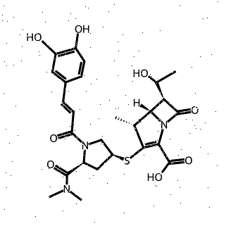 CC(O)[C@H]1C(=O)N2C(C(=O)O)=C(S[C@H]3C[C@@H](C(=O)N(C)C)N(C(=O)C=Cc4ccc(O)c(O)c4)C3)[C@H](C)[C@H]12